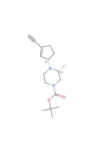 C#CC1=C[C@@H](N2CCN(C(=O)OC(C)(C)C)C[C@H]2C)CC1